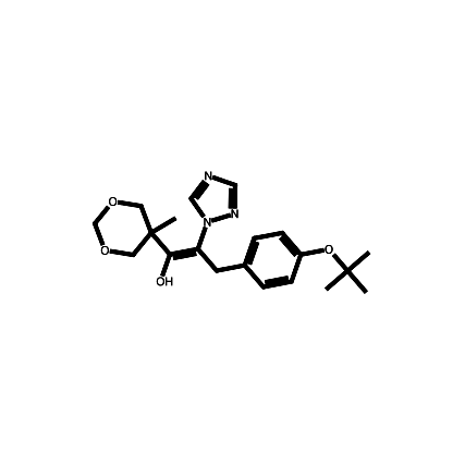 CC(C)(C)Oc1ccc(C/C(=C(\O)C2(C)COCOC2)n2cncn2)cc1